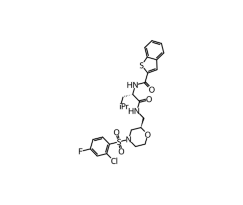 CC(C)C[C@H](NC(=O)c1cc2ccccc2s1)C(=O)NC[C@@H]1CN(S(=O)(=O)c2ccc(F)cc2Cl)CCO1